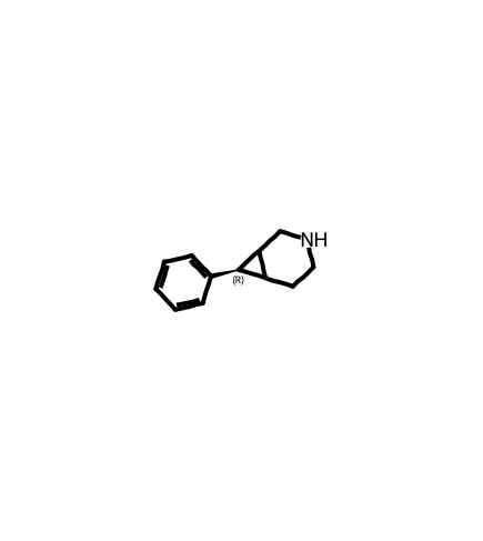 c1ccc([C@@H]2C3CCNCC32)cc1